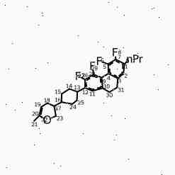 CCCc1cc2c(c(F)c1F)-c1c(cc(C3CCC(C4CC=C(C)OC4)CC3)c(F)c1F)CC2